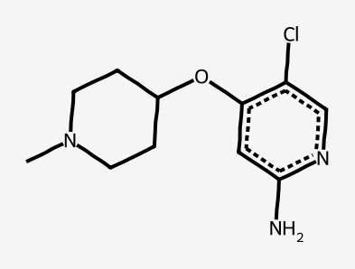 CN1CCC(Oc2cc(N)ncc2Cl)CC1